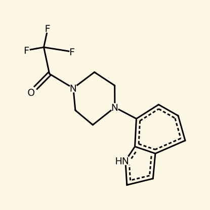 O=C(N1CCN(c2cccc3cc[nH]c23)CC1)C(F)(F)F